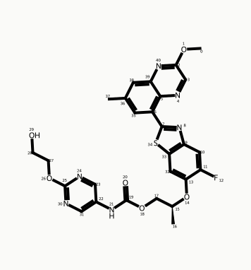 COc1cnc2c(-c3nc4cc(F)c(O[C@@H](C)COC(=O)Nc5cnc(OCCO)nc5)cc4s3)cc(C)cc2n1